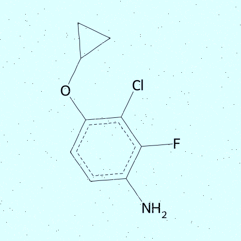 Nc1ccc(OC2CC2)c(Cl)c1F